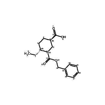 CC[C@@H]1CC[C@@H](C(=O)O)CN1C(=O)OCc1ccccc1